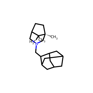 CC1(C)C2CC[C@@]1(C)CN(CC1C3CC4CC(C3)CC1C4)C2